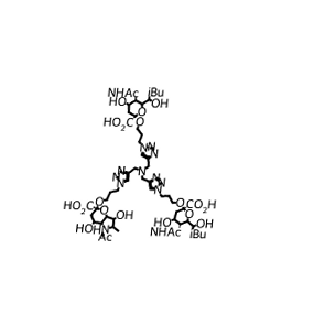 CCC(C)C(O)C1O[C@@](OCCCn2cc(CN(Cc3cn(CCCO[C@@]4(C(=O)O)CC(O)[C@H]5C(O4)C(O)C(C)N5C(C)=O)nn3)Cc3cn(CCCO[C@]4(C(=O)O)CC(O)[C@@H](NC(C)=O)C(C(O)C(C)CC)O4)nn3)nn2)(C(=O)O)CC(O)[C@H]1NC(C)=O